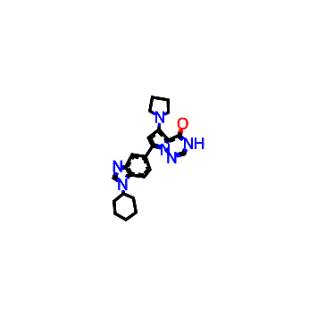 O=c1[nH]cnn2c(-c3ccc4c(c3)ncn4C3CCCCC3)cc(N3CCCC3)c12